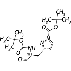 CC(C)(C)OC(=O)N[C@H](C=O)Cc1ccn(C(=O)OC(C)(C)C)n1